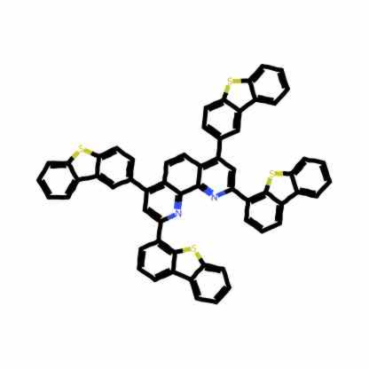 c1ccc2c(c1)sc1ccc(-c3cc(-c4cccc5c4sc4ccccc45)nc4c3ccc3c(-c5ccc6sc7ccccc7c6c5)cc(-c5cccc6c5sc5ccccc56)nc34)cc12